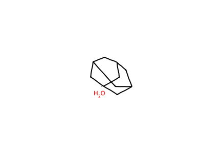 C1[C]2CC3CC1CC(C2)C3.O